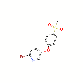 CS(=O)(=O)c1ccc(Oc2ccc(Br)nc2)cc1